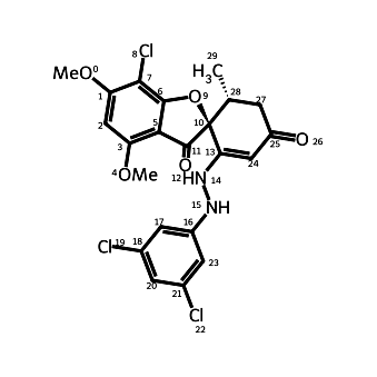 COc1cc(OC)c2c(c1Cl)O[C@]1(C2=O)C(NNc2cc(Cl)cc(Cl)c2)=CC(=O)C[C@H]1C